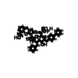 CC(C)(O)c1cccc(CN2CCN(C(C(=O)NC(Cc3ccccc3)CC(O)C(Cc3ccc(-c4ccccn4)cc3)NC(=O)C(NC(=O)O)C(C)(C)C)C(C)(C)C)C2=O)n1